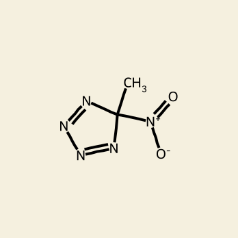 CC1([N+](=O)[O-])N=NN=N1